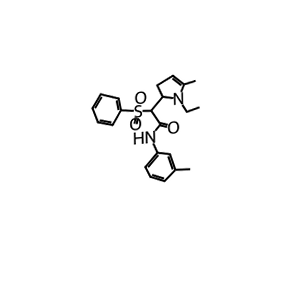 CCN1C(C)=CCC1C(C(=O)Nc1cccc(C)c1)S(=O)(=O)c1ccccc1